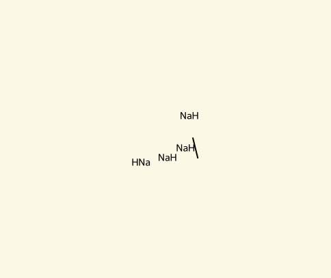 CC.[NaH].[NaH].[NaH].[NaH]